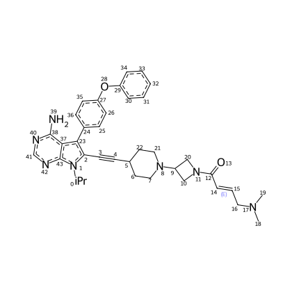 CC(C)n1c(C#CC2CCN(C3CN(C(=O)/C=C/CN(C)C)C3)CC2)c(-c2ccc(Oc3ccccc3)cc2)c2c(N)ncnc21